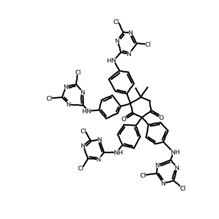 CC1(C)CC(=O)C(c2ccc(Nc3nc(Cl)nc(Cl)n3)cc2)(c2ccc(Nc3nc(Cl)nc(Cl)n3)cc2)C(=O)C1(c1ccc(Nc2nc(Cl)nc(Cl)n2)cc1)c1ccc(Nc2nc(Cl)nc(Cl)n2)cc1